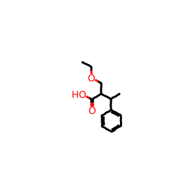 CCOCC(C(=O)O)C(C)c1ccccc1